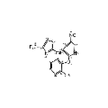 [C-]#[N+]c1cnc(Oc2ccccc2C(C)C)c(Nc2nc(C(F)(F)F)cs2)c1